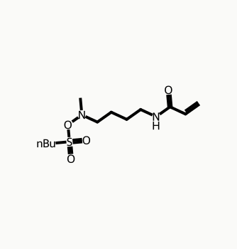 C=CC(=O)NCCCCN(C)OS(=O)(=O)CCCC